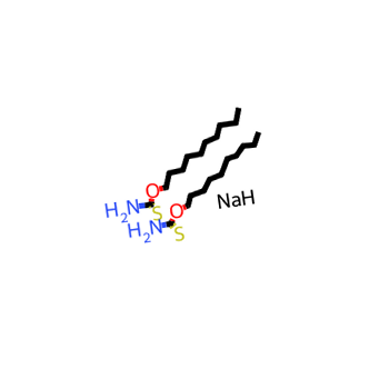 CCCCCCCCCCOC(N)=S.CCCCCCCCCCOC(N)=S.[NaH]